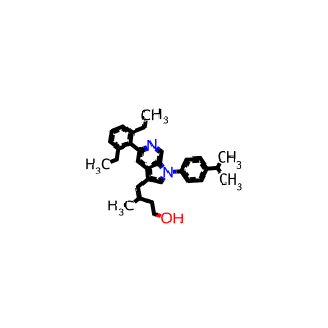 CCc1cccc(CC)c1-c1cc2c(CC(C)CCO)cn(-c3ccc(C(C)C)cc3)c2cn1